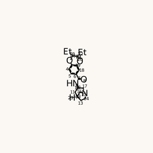 CC[C@@H]1Oc2ccc(C(=O)N[C@@H]3C[C@@H]4CCN(C4)C3)cc2O[C@H]1CC